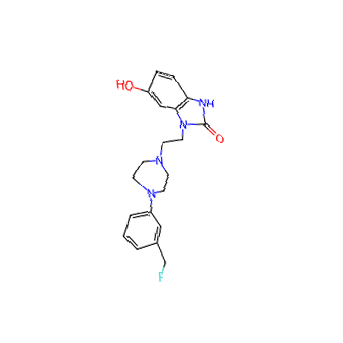 O=c1[nH]c2ccc(O)cc2n1CCN1CCN(c2cccc(CF)c2)CC1